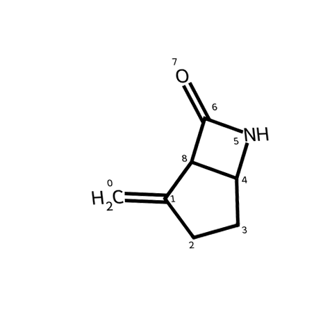 C=C1CCC2NC(=O)C12